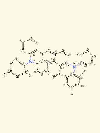 CC1=CCC(N(c2ccccc2)c2ccc3ccc4c(N(c5ccccc5)c5ccc(C)cc5C)ccc5ccc2c3c54)C(C)=C1